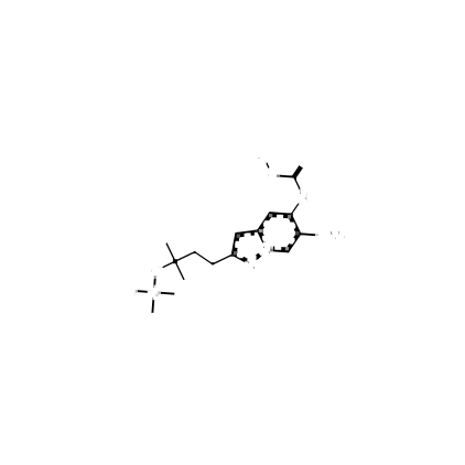 COc1cn2nc(CCC(C)(C)O[Si](C)(C)C(C)(C)C)cc2cc1NC(=O)OC(C)(C)C